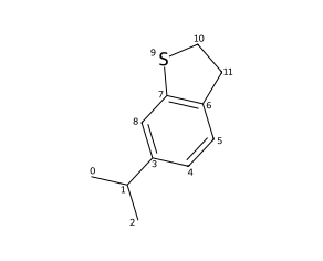 CC(C)c1ccc2c(c1)SCC2